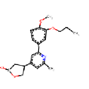 CCCOc1cc(-c2cc(C3COB(O)C3)cc(C)n2)ccc1OC